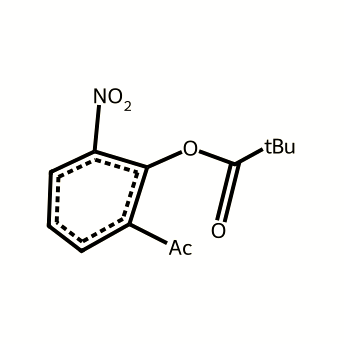 CC(=O)c1cccc([N+](=O)[O-])c1OC(=O)C(C)(C)C